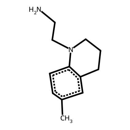 Cc1ccc2c(c1)CCCN2CCN